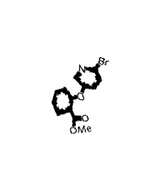 COC(=O)c1ccccc1Oc1ccc(Br)nc1